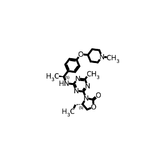 CC[C@H]1COC(=O)N1c1nc(C)nc(N[C@@H](C)c2ccc(OC3CCN(C)CC3)cc2)n1